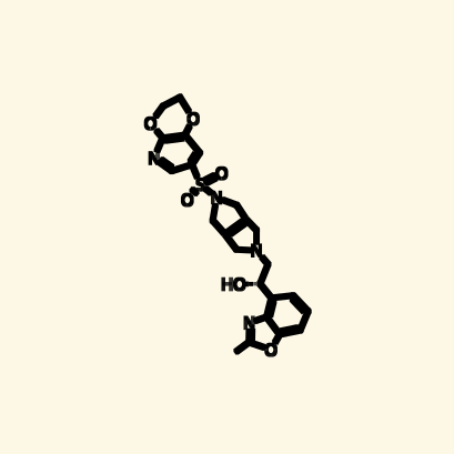 Cc1nc2c([C@H](O)CN3CC4=C(C3)CN(S(=O)(=O)c3cnc5c(c3)OCCO5)C4)cccc2o1